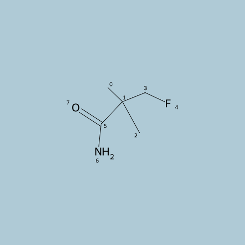 CC(C)(CF)C(N)=O